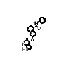 O=C(Nc1ccccc1)c1cccc2cc(Oc3ncnc4[nH]ccc34)ccc12